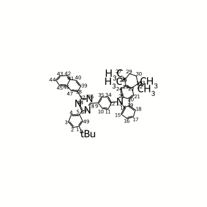 CC(C)(C)c1cccc(-c2nc(-c3ccc(-n4c5ccccc5c5cc6c(cc54)C(C)(C)CCC6(C)C)cc3)nc(-c3ccc4ccccc4c3)n2)c1